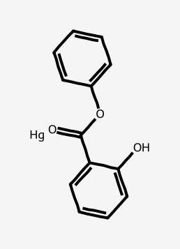 O=C(Oc1ccccc1)c1ccccc1O.[Hg]